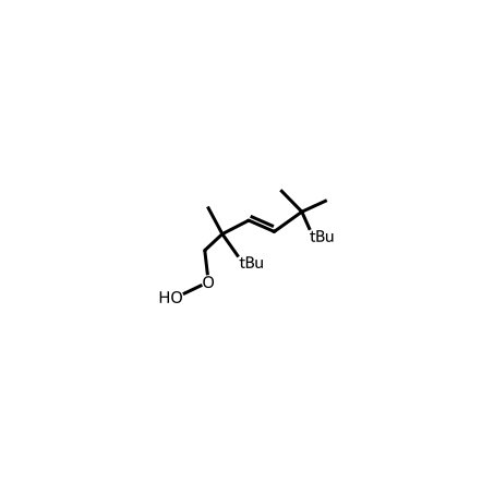 CC(C)(C)C(C)(C)C=CC(C)(COO)C(C)(C)C